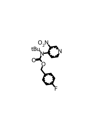 CC(C)(C)N(C(=O)OCc1ccc(F)cc1)c1ccncc1[N+](=O)[O-]